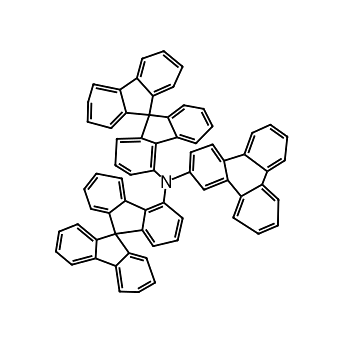 c1ccc2c(c1)-c1ccccc1C21c2ccccc2-c2c(N(c3ccc4c5ccccc5c5ccccc5c4c3)c3cccc4c3-c3ccccc3C43c4ccccc4-c4ccccc43)cccc21